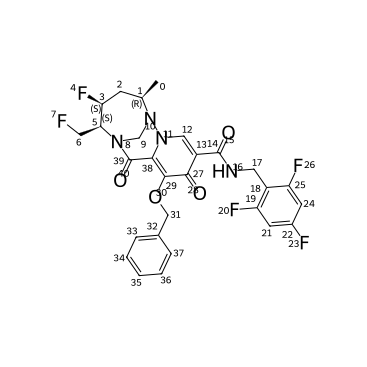 C[C@@H]1C[C@H](F)[C@H](CF)N2CN1n1cc(C(=O)NCc3c(F)cc(F)cc3F)c(=O)c(OCc3ccccc3)c1C2=O